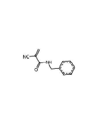 C=C(C#N)C(=O)NCc1ccccc1